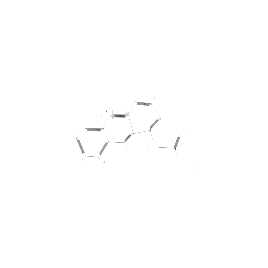 CC(=O)Oc1cccc2nc3ccccc3cc12